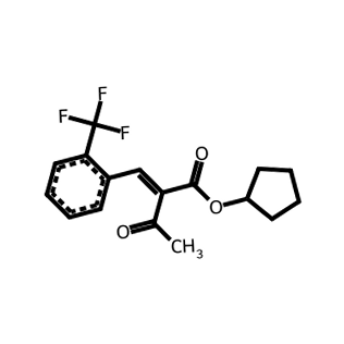 CC(=O)/C(=C\c1ccccc1C(F)(F)F)C(=O)OC1CCCC1